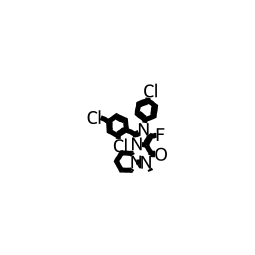 CN(C(=O)c1nc(-c2ccc(Cl)cc2Cl)n(-c2ccc(Cl)cc2)c1F)N1CCCCC1